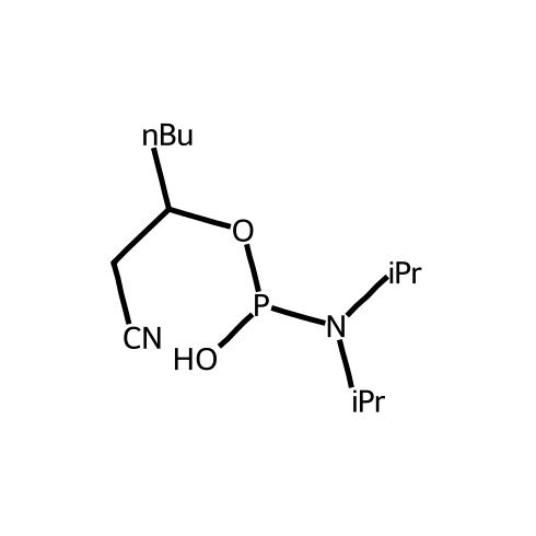 CCCCC(CC#N)OP(O)N(C(C)C)C(C)C